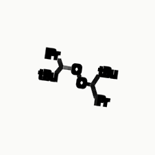 CC(C)C(OOC(C(C)C)C(C)(C)C)C(C)(C)C